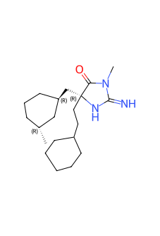 C[C@@H]1CCC[C@@H](C[C@@]2(CCC3CCCCC3)NC(=N)N(C)C2=O)C1